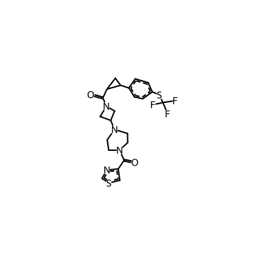 O=C(c1cscn1)N1CCN(C2CN(C(=O)C3CC3c3ccc(SC(F)(F)F)cc3)C2)CC1